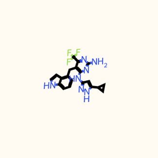 Nc1nc(Nc2cc(C3CC3)[nH]n2)c(Cc2cccc3[nH]ccc23)c(C(F)(F)F)n1